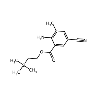 Cc1cc(C#N)cc(C(=O)OCC[Si](C)(C)C)c1N